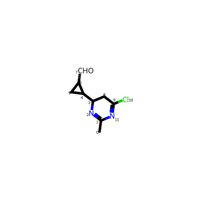 CC1=NC(C2CC2C=O)CC(Cl)=N1